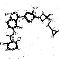 C[C@@H](Oc1ccc2[nH]nc(-c3cnc(N4CC(C)(NCC5CC5)C4)c(F)c3)c2c1F)c1c(Cl)cncc1Cl